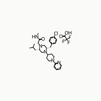 CNC(=O)CN1C[C@H](Cc2ccc(Cl)cc2)N(C2CCN(c3ccccn3)CC2)C[C@@H]1CC(C)C.O=C(O)C(F)(F)F